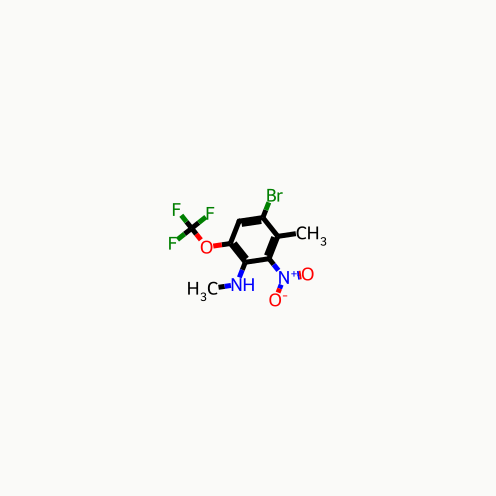 CNc1c(OC(F)(F)F)cc(Br)c(C)c1[N+](=O)[O-]